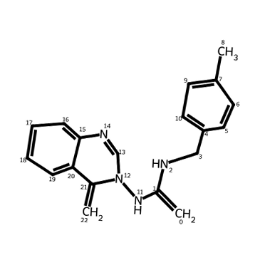 C=C(NCc1ccc(C)cc1)NN1C=Nc2ccccc2C1=C